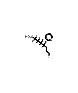 O=S(=O)(O)C(F)(F)C(F)(F)C(F)(F)C(F)(F)CCCC(F)(F)F.c1ccncc1